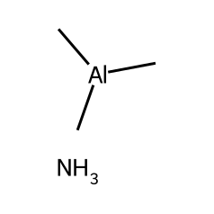 N.[CH3][Al]([CH3])[CH3]